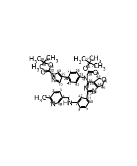 Cc1ccc(CNc2cccc(-c3nc4c(c(N(C(=O)OC(C)(C)C)c5ccc(-c6cnn(C(=O)OC(C)(C)C)c6)cc5)n3)COC4)c2)cn1